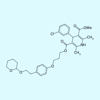 COC(=O)C1=C(C)NC(C)=C(C(=O)OCCCOc2ccc(CCOC3CCCCO3)cc2)C1c1cccc(Cl)c1